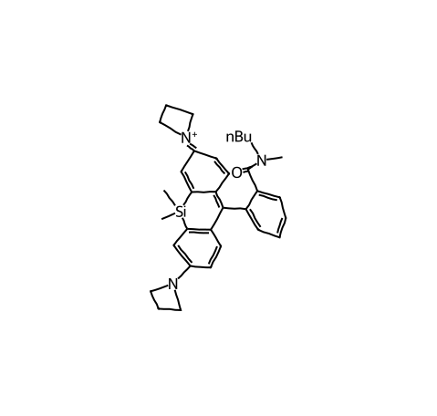 CCCCN(C)C(=O)c1ccccc1C1=C2C=CC(=[N+]3CCC3)C=C2[Si](C)(C)c2cc(N3CCC3)ccc21